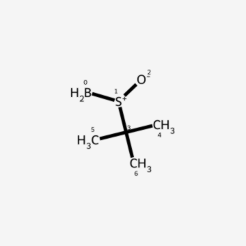 B[S+]([O-])C(C)(C)C